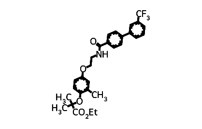 CCOC(=O)C(C)(C)Oc1ccc(OCCNC(=O)c2ccc(-c3cccc(C(F)(F)F)c3)cc2)cc1C